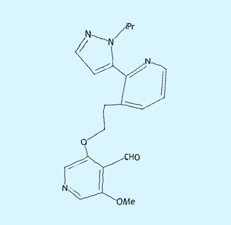 COc1cncc(OCCc2cccnc2-c2ccnn2C(C)C)c1C=O